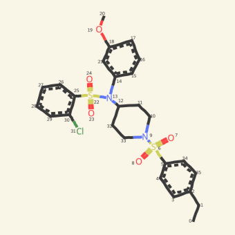 CCc1ccc(S(=O)(=O)N2CCC(N(c3cccc(OC)c3)S(=O)(=O)c3ccccc3Cl)CC2)cc1